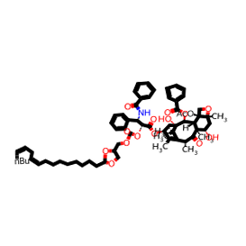 CCCC/C=C\C/C=C\CCCCCCCCC1OCC(COC(=O)O[C@@H](C(=O)O[C@H]2C[C@@]3(O)[C@@H](OC(=O)c4ccccc4)[C@H]4[C@](C)(C(=O)[C@H](C)C(=C2C)C3(C)C)[C@@H](O)C[C@@]2(C)OC[C@@]42OC(C)=O)[C@@H](NC(=O)c2ccccc2)c2ccccc2)O1